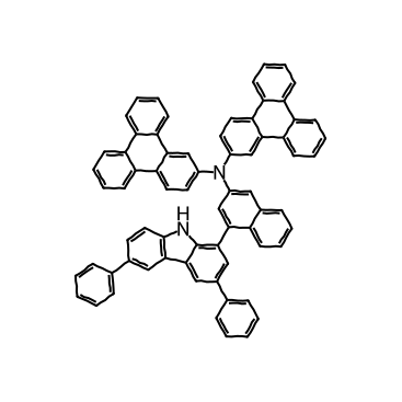 c1ccc(-c2ccc3[nH]c4c(-c5cc(N(c6ccc7c8ccccc8c8ccccc8c7c6)c6ccc7c8ccccc8c8ccccc8c7c6)cc6ccccc56)cc(-c5ccccc5)cc4c3c2)cc1